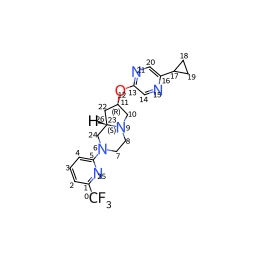 FC(F)(F)c1cccc(N2CCN3C[C@H](Oc4cnc(C5CC5)cn4)C[C@H]3C2)n1